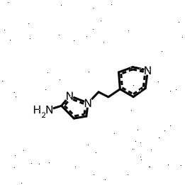 Nc1ccn(CCc2ccncc2)n1